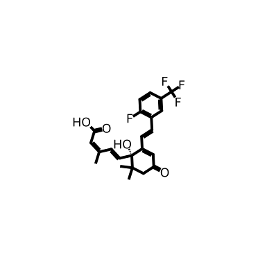 CC(=C/C(=O)O)/C=C/[C@@]1(O)C(/C=C/c2cc(C(F)(F)F)ccc2F)=CC(=O)CC1(C)C